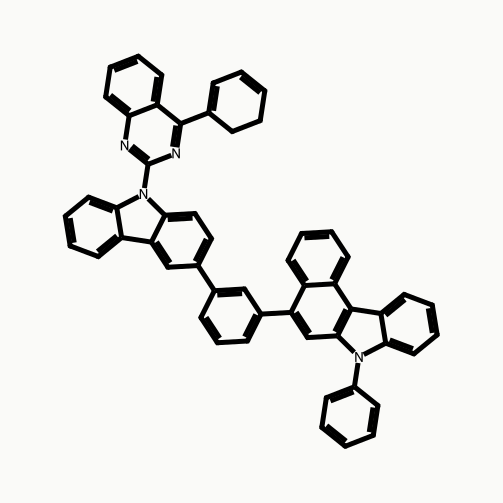 C1=CCCC(c2nc(-n3c4ccccc4c4cc(-c5cccc(-c6cc7c(c8ccccc68)c6ccccc6n7-c6ccccc6)c5)ccc43)nc3ccccc23)=C1